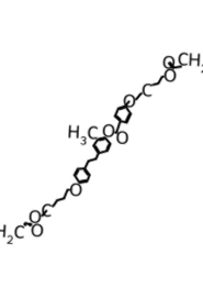 C=CC(=O)OCCCCCCOc1ccc(CCc2ccc(OC(=O)c3ccc(OCCCCCCOC(=O)C=C)cc3)c(C)c2)cc1